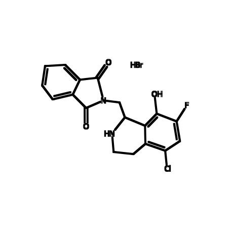 Br.O=C1c2ccccc2C(=O)N1CC1NCCc2c(Cl)cc(F)c(O)c21